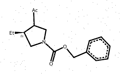 CC[C@@H]1CN(C(=O)OCc2ccccc2)CC1C(C)=O